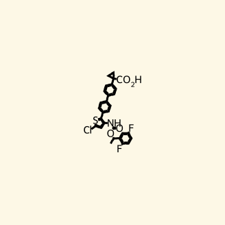 CC(OC(=O)Nc1cc(Cl)sc1-c1ccc(-c2ccc(C3(C(=O)O)CC3)cc2)cc1)c1cc(F)ccc1F